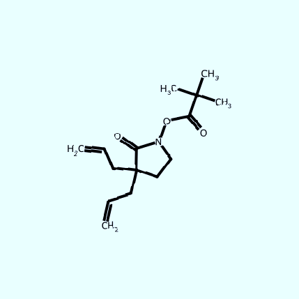 C=CCC1(CC=C)CCN(OC(=O)C(C)(C)C)C1=O